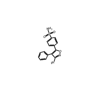 CC(C)c1noc(-c2ccc(S(N)(=O)=O)cc2)c1-c1ccccc1